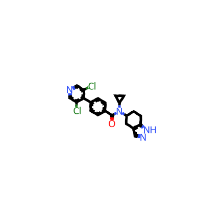 O=C(c1ccc(-c2c(Cl)cncc2Cl)cc1)N(C1CC1)C1CCc2[nH]ncc2C1